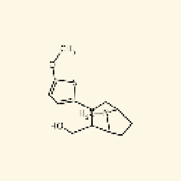 COc1ccc(C2CC3CCC(C2CO)N3C)s1